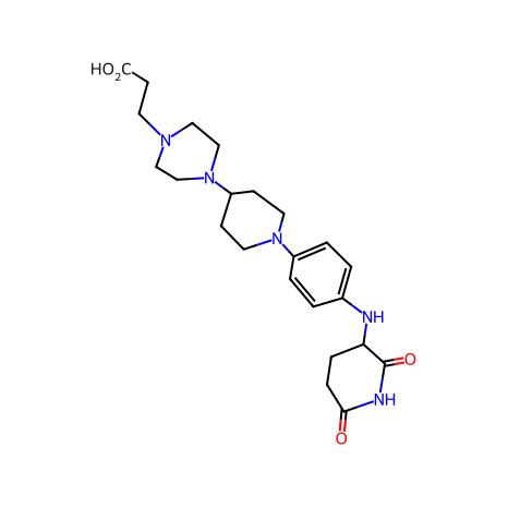 O=C(O)CCN1CCN(C2CCN(c3ccc(NC4CCC(=O)NC4=O)cc3)CC2)CC1